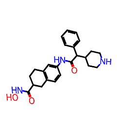 O=C(NO)C1CCc2cc(NC(=O)C(c3ccccc3)C3CCNCC3)ccc2C1